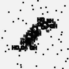 C[C@@H]1O[C@@H](O[C@H]2CC[C@@]3(C)[C@H](CC[C@@H]4[C@@H]3CC[C@]3(C)[C@@H]5CC[C@]43O[C@@H](O)[C@H]5CC(=O)O)C2)[C@H](O)[C@@H](N)[C@H]1O